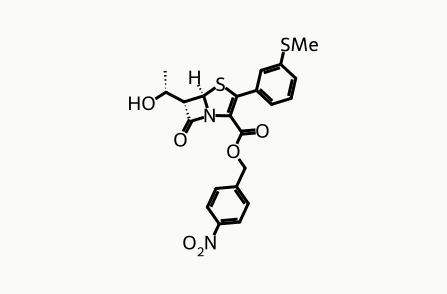 CSc1cccc(C2=C(C(=O)OCc3ccc([N+](=O)[O-])cc3)N3C(=O)[C@H]([C@@H](C)O)[C@H]3S2)c1